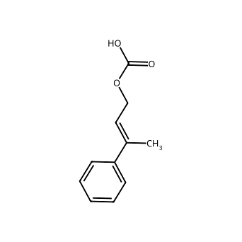 CC(=CCOC(=O)O)c1ccccc1